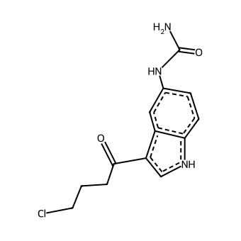 NC(=O)Nc1ccc2[nH]cc(C(=O)CCCCl)c2c1